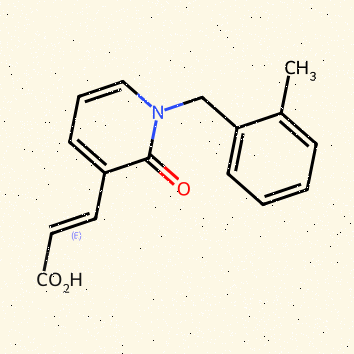 Cc1ccccc1Cn1cccc(/C=C/C(=O)O)c1=O